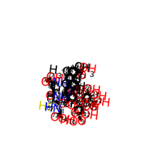 CC1(C)[C@@H](O[C@H]2O[C@H](C(=O)O)[C@@H](O)[C@H](O)[C@H]2O[C@@H]2O[C@H](C(=O)O)[C@@H](O)[C@H](O)[C@H]2O)CC[C@]2(C)[C@H]3C(=O)C=C4[C@@H]5C[C@@](C)(C(=O)O)CC[C@]5(C)CC[C@@]4(C)[C@]3(C)CC[C@@H]12.N[C@@H](CCC(=O)N[C@@H](CS)C(=O)NCC(=O)O)C(=O)O